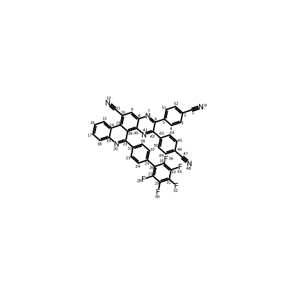 N#Cc1ccc(-c2nc3cc(C#N)c4c5ccccc5nc(-c5ccc(-c6c(F)c(F)c(F)c(F)c6F)cc5)c4c3nc2-c2ccc(C#N)cc2)cc1